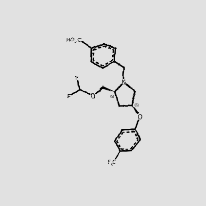 O=C(O)c1ccc(CN2C[C@@H](Oc3ccc(C(F)(F)F)cc3)C[C@H]2COC(F)F)cc1